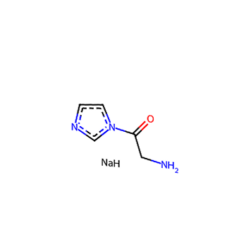 NCC(=O)n1ccnc1.[NaH]